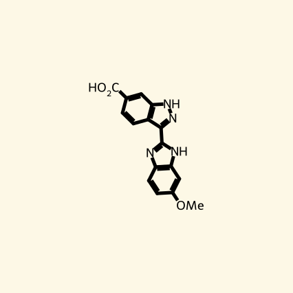 COc1ccc2nc(-c3n[nH]c4cc(C(=O)O)ccc34)[nH]c2c1